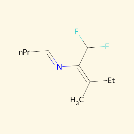 CCC/C=N/C(=C(\C)CC)C(F)F